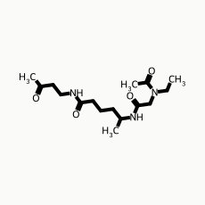 CCN(CC(=O)NC(C)CCCC(=O)NCCC(C)=O)C(C)=O